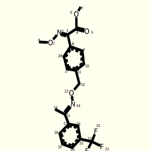 CO/N=C(/C(=O)OC)c1ccc(CO/N=C(\C)c2cccc(C(F)(F)F)c2)cc1